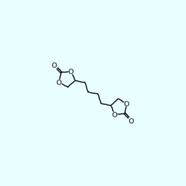 O=C1OCC(CCCCC2COC(=O)O2)O1